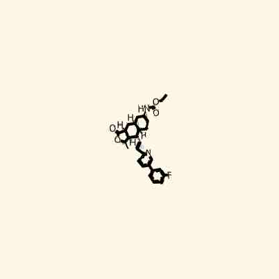 CCOC(=O)N[C@H]1CC[C@@H]2[C@H](C1)C[C@@H]1C(=O)O[C@H](C)[C@@H]1[C@H]2/C=C/c1ccc(-c2cccc(F)c2)cn1